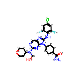 NC(=O)C1CCC(n2c(Nc3c(F)cc(Cl)cc3F)nc3cnc(N(CO)C4CCOCC4)nc32)CC1